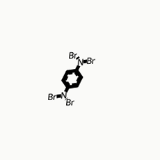 BrN(Br)c1ccc(N(Br)Br)cc1